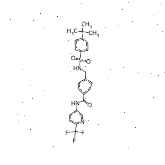 CC(C)(C)c1ccc(S(=O)(=O)NCc2ccc(C(=O)Nc3ccc(C(F)(F)F)nc3)cc2)cc1